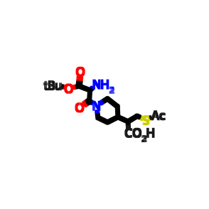 CC(=O)SCC(C(=O)O)C1CCN(C(=O)C(N)C(=O)OC(C)(C)C)CC1